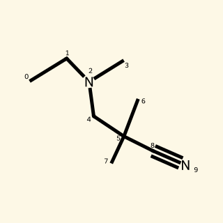 CCN(C)CC(C)(C)C#N